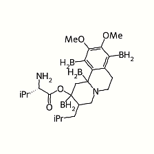 Bc1c2c(c(B)c(OC)c1OC)C1(B)CC(B)(OC(=O)[C@@H](N)C(C)C)C(CC(C)C)CN1CC2